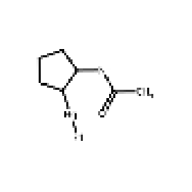 CC(=O)NC1CCC[CH]1[Hg][Cl]